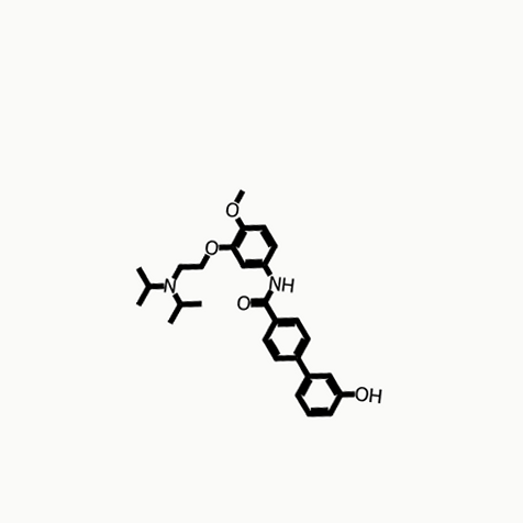 COc1ccc(NC(=O)c2ccc(-c3cccc(O)c3)cc2)cc1OCCN(C(C)C)C(C)C